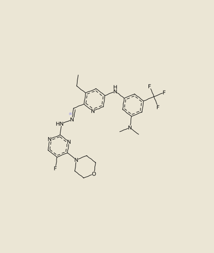 CCc1cc(Nc2cc(N(C)C)cc(C(F)(F)F)c2)cnc1/C=N/Nc1ncc(F)c(N2CCOCC2)n1